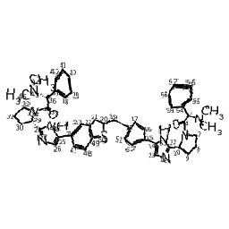 CN(C)[C@@H](C(=O)N1CCC[C@H]1c1ncc(-c2ccc(CC3Cc4cc(-c5cnc([C@@H]6CCCN6C(=O)[C@@H](c6ccccc6)N(C)C)[nH]5)ccc4S3)cc2)[nH]1)c1ccccc1